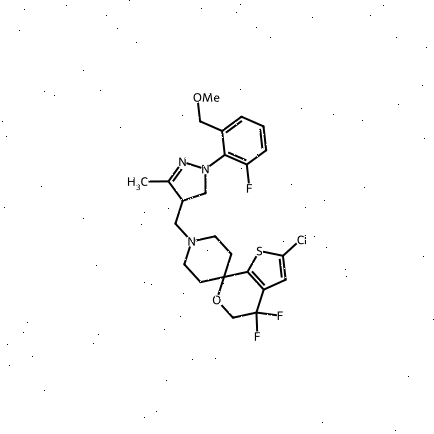 COCc1cccc(F)c1N1CC(CN2CCC3(CC2)OCC(F)(F)c2cc(Cl)sc23)C(C)=N1